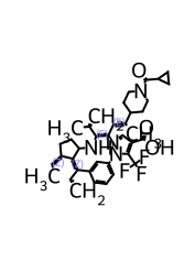 C=C/C(=C1\C(=C/C)CCC1N/C(=C/C=C(\C)C1CCN(C(=O)C2CC2)CC1)C(=C)C)c1cccc(-n2ncc(C(=O)O)c2C(F)(F)F)c1